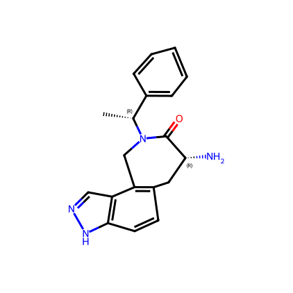 C[C@H](c1ccccc1)N1Cc2c(ccc3[nH]ncc23)C[C@@H](N)C1=O